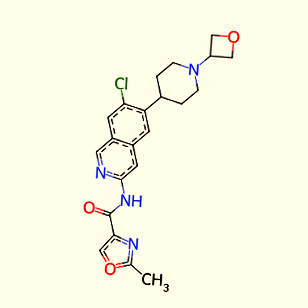 Cc1nc(C(=O)Nc2cc3cc(C4CCN(C5COC5)CC4)c(Cl)cc3cn2)co1